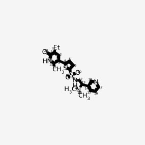 CCc1cc(-c2ccc(S(=O)(=O)NCC(c3cccnc3)N(C)C)s2)c(C)[nH]c1=O